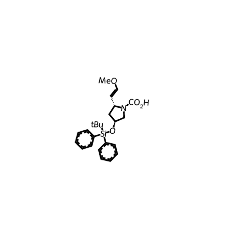 CO/C=C/[C@H]1C[C@H](O[Si](c2ccccc2)(c2ccccc2)C(C)(C)C)CN1C(=O)O